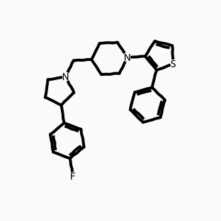 Fc1ccc(C2CCN(CC3CCN(c4ccsc4-c4ccccc4)CC3)C2)cc1